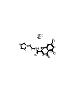 Cl.Cl.O=C(NCCN1CCCC1)c1cc(=O)c2c(Cl)cc(Cl)cc2[nH]1